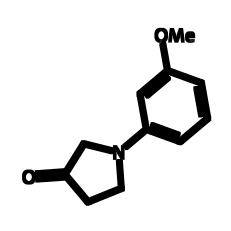 COc1cccc(N2CCC(=O)C2)c1